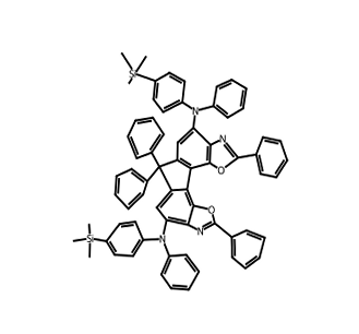 C[Si](C)(C)c1ccc(N(c2ccccc2)c2cc3c(c4oc(-c5ccccc5)nc24)-c2c(cc(N(c4ccccc4)c4ccc([Si](C)(C)C)cc4)c4nc(-c5ccccc5)oc24)C3(c2ccccc2)c2ccccc2)cc1